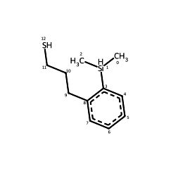 C[SiH](C)c1ccccc1CCCS